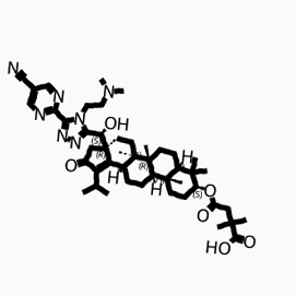 CC(C)C1=C2[C@H]3CC[C@@H]4[C@@]5(C)CC[C@H](OC(=O)CC(C)(C)C(=O)O)C(C)(C)[C@@H]5CC[C@@]4(C)[C@]3(C)CC[C@@]2([C@H](O)c2nnc(-c3ncc(C#N)cn3)n2CCN(C)C)CC1=O